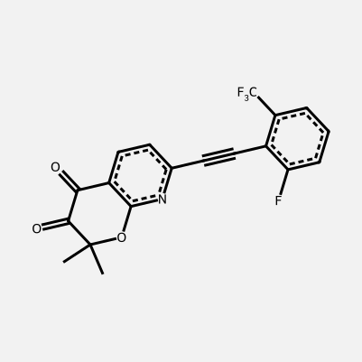 CC1(C)Oc2nc(C#Cc3c(F)cccc3C(F)(F)F)ccc2C(=O)C1=O